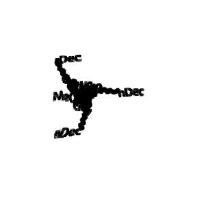 CCCCCCCCCCCCCCCCOc1ccc(-c2c(OC)c(C)cc(C([O])(c3ccc(OCCCCCCCCCCCCCCCC)cc3)c3ccc(OCCCCCCCCCCCCCCCC)cc3)c2[N+](=O)[O-])cc1